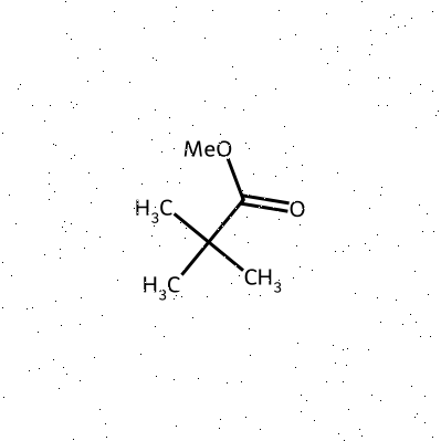 [CH]OC(=O)C(C)(C)C